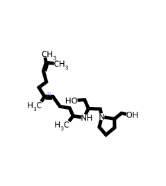 CC(C)=CCC/C(C)=C/CCC(C)NC(CO)CN1CCCC1CO